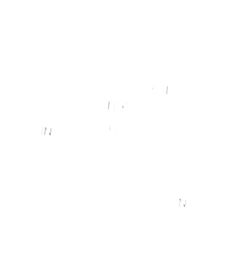 CC(C)=Cc1c(OC2CCNCC2)ccc2cnccc12